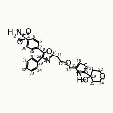 NS(=O)(=O)c1ccc(-c2oc(CCOCc3csc(C4(O)CCOCC4)n3)nc2-c2ccccc2)cc1